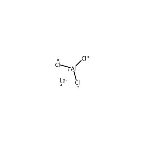 [Cl][Al]([Cl])[Cl].[La]